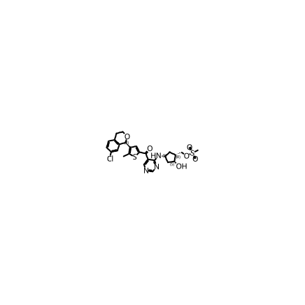 Cc1sc(C(=O)c2cncnc2N[C@@H]2C[C@H](COS(C)(=O)=O)[C@@H](O)C2)cc1[C@@H]1OCCc2ccc(Cl)cc21